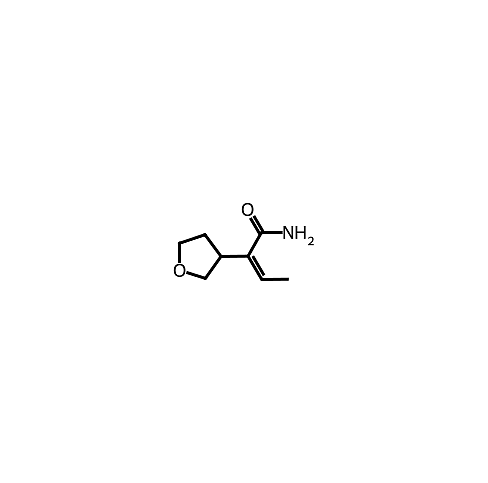 CC=C(C(N)=O)C1CCOC1